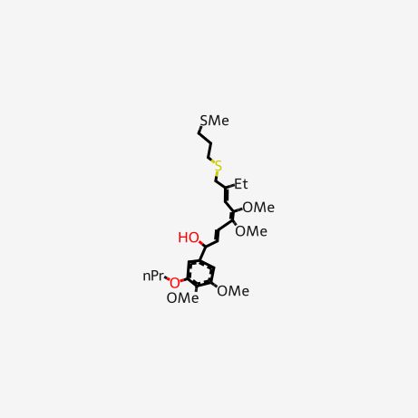 CCCOc1cc(C(O)/C=C/C(OC)=C(\C=C(/CC)CSCCCSC)OC)cc(OC)c1OC